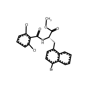 COC(=O)[C@H](Cc1ccc(Br)c2ccccc12)NC(=O)c1c(Cl)cccc1Cl